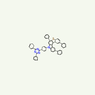 C1=CCCC(c2nc(-c3ccccc3)nc(C3C=CC(n4c5ccc(-c6ccccc6)cc5c5c6c(c(-c7ccccc7)cc54)SC4C=CC(c5ccccc5)=CC64)=CC3)n2)=C1